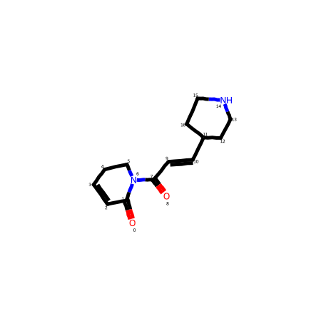 O=C1C=CCCN1C(=O)/C=C/C1CCNCC1